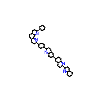 c1ccc(-c2ccc3ccc4ccc(-c5ccc(-c6ccc7cc(-c8ccc9nc(-c%10ccc%11ccccc%11n%10)ccc9c8)ccc7n6)cc5)nc4c3n2)cc1